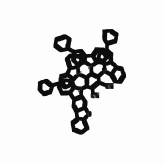 N#Cc1c(C#N)c(-n2c3ccccc3c3cc4c(cc32)oc2ccccc24)c(-n2c3ccccc3c3cc(-c4ccccc4)ccc32)c(-n2c3ccccc3c3cc(-c4ccccc4)ccc32)c1-n1c2ccccc2c2cc(-c3ccccc3)ccc21